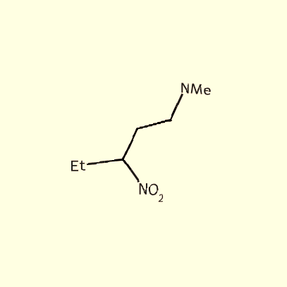 CCC(CCNC)[N+](=O)[O-]